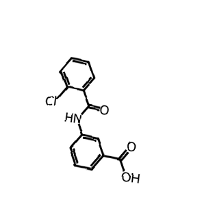 O=C(O)c1cccc(NC(=O)c2ccccc2Cl)c1